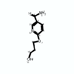 NC(=S)c1ccc(OCCCO)nc1